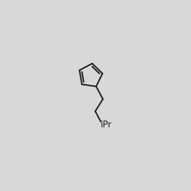 CC(C)CCC1C=CC=C1